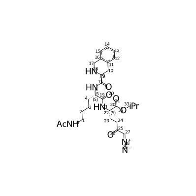 CC(=O)NCCCC[C@H](NC(=O)[C@@H]1Cc2ccccc2CN1)C(=O)N[C@@H](CCC(=O)C=[N+]=[N-])C(=O)OC(C)C